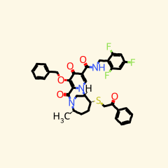 C[C@H]1CC[C@@H](SCC(=O)c2ccccc2)[C@H]2CN1C(=O)c1c(OCc3ccccc3)c(=O)c(C(=O)NCc3c(F)cc(F)cc3F)cn12